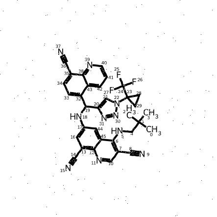 CC(C)(C)CNc1c(C#N)cnc2c(C#N)cc(NC(c3cn(C4(C(F)(F)F)CC4)nn3)c3ccc(C#N)c4ncccc34)cc12